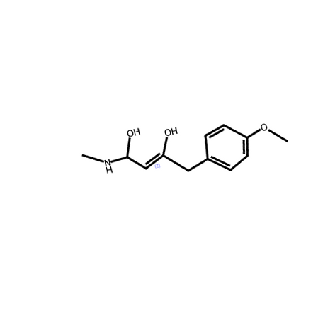 CNC(O)/C=C(\O)Cc1ccc(OC)cc1